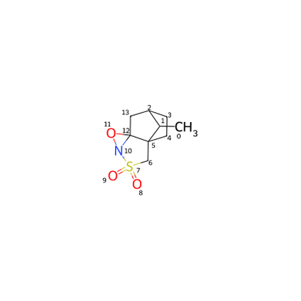 CC1C2CCC13CS(=O)(=O)N1OC13C2